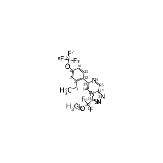 CCc1cc(OC(F)(F)F)ccc1-c1cn2c(C(F)(F)OC)nnc2cn1